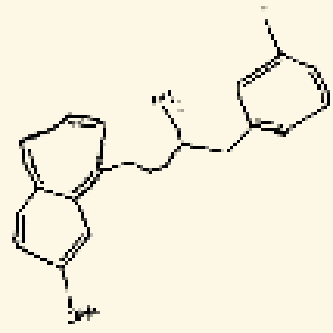 COc1ccc2cccc(CC(N)Cc3cccc(F)c3)c2c1